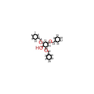 Oc1c(OCc2ccccc2)cc(OCc2ccccc2)cc1OCc1ccccc1